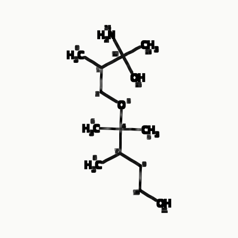 CC(COC(C)(C)C(C)CCO)C(C)(N)O